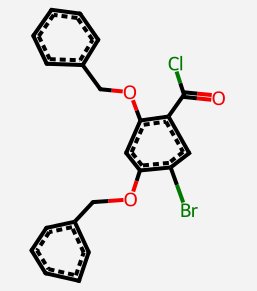 O=C(Cl)c1cc(Br)c(OCc2ccccc2)cc1OCc1ccccc1